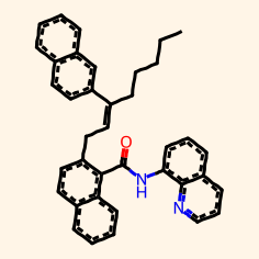 CCCCCC(=CCc1ccc2ccccc2c1C(=O)Nc1cccc2cccnc12)c1ccc2ccccc2c1